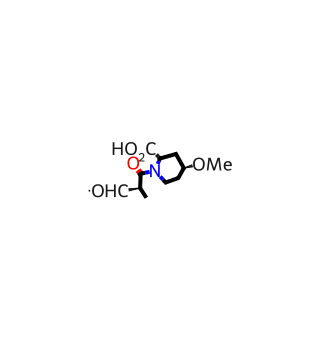 CO[C@H]1CCN(C(=O)[C@@H](C)[C]=O)C(C(=O)O)C1